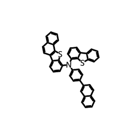 c1ccc2cc(-c3ccc(N(c4cccc5c4sc4ccccc45)c4cccc5c4sc4c6ccccc6ccc54)cc3)ccc2c1